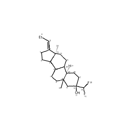 CC/C=C1\CCC2C3CCC4(C)C[C@@](O)(C(F)F)CC[C@@H]4C3CC[C@]12C